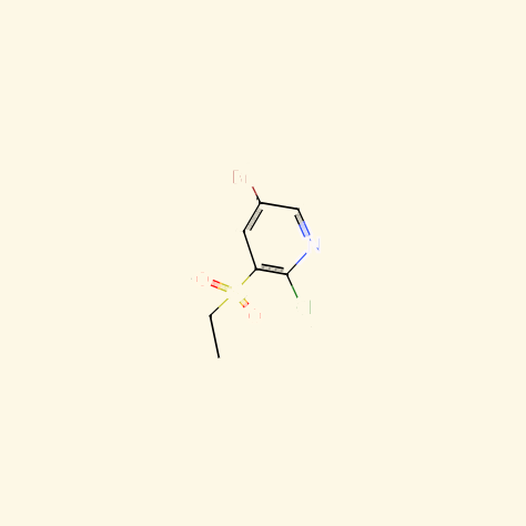 CCS(=O)(=O)c1cc(Br)cnc1Cl